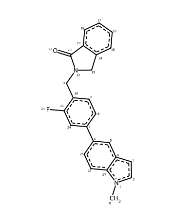 Cn1ccc2cc(-c3ccc(CN4Cc5ccccc5C4=O)c(F)c3)ccc21